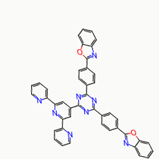 c1ccc(-c2cc(-c3nc(-c4ccc(-c5nc6ccccc6o5)cc4)nc(-c4ccc(-c5nc6ccccc6o5)cc4)n3)cc(-c3ccccn3)n2)nc1